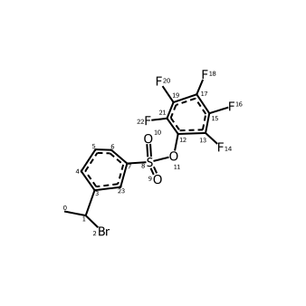 CC(Br)c1cccc(S(=O)(=O)Oc2c(F)c(F)c(F)c(F)c2F)c1